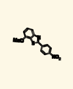 COc1cccc2nc(-c3ccc([N+](=O)[O-])cc3)sc12